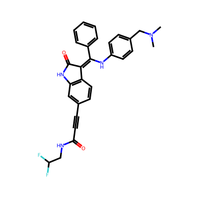 CN(C)Cc1ccc(NC(=C2C(=O)Nc3cc(C#CC(=O)NCC(F)F)ccc32)c2ccccc2)cc1